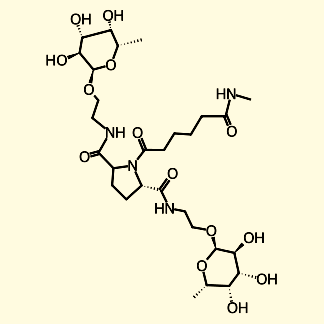 CNC(=O)CCCCC(=O)N1C(C(=O)NCCO[C@@H]2O[C@@H](C)[C@@H](O)[C@@H](O)[C@@H]2O)CC[C@H]1C(=O)NCCO[C@@H]1O[C@@H](C)[C@@H](O)[C@@H](O)[C@@H]1O